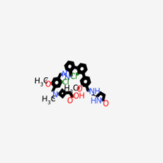 COc1cc(-c2cccc(-c3cccc4c3cnn4Cc3cc(OC)c(CN(C)C4CC(CC(=O)O)C4)cc3Cl)c2Cl)ccc1CNC[C@@H]1CCC(=O)N1